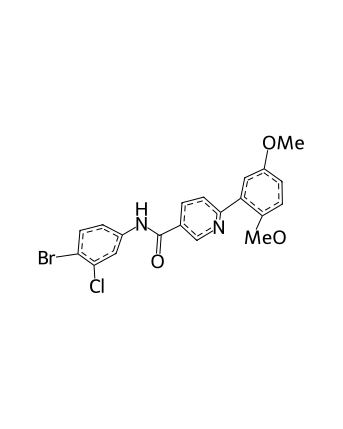 COc1ccc(OC)c(-c2ccc(C(=O)Nc3ccc(Br)c(Cl)c3)cn2)c1